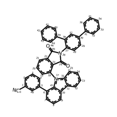 N#Cc1cccc(-c2cccc3c4ccccc4n(-c4cccc5c4C(=O)N(c4ccc(-c6ccccc6)cc4-c4ccccc4)C5=O)c23)c1